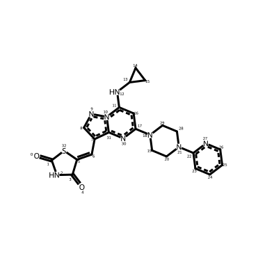 O=C1NC(=O)/C(=C/c2cnn3c(NC4CC4)cc(N4CCN(c5ccccn5)CC4)nc23)S1